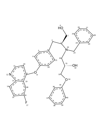 OC[C@H](Cc1ccc(Oc2ccnc3ccc(F)cc23)cc1)N(Cc1ccccc1)C[C@H](O)COc1ccccc1